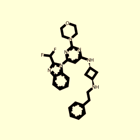 FC(F)c1nc2ccccc2n1-c1cc(N[C@H]2C[C@H](NCCc3ccccc3)C2)nc(N2CCOCC2)n1